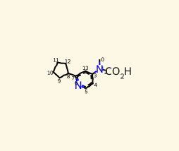 CN(C(=O)O)c1ccnc(C2CCCC2)c1